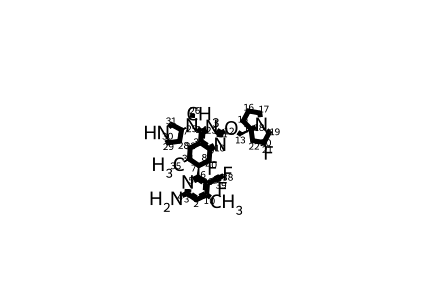 Cc1cc(N)nc([C@@H]2Cc3nc(OC[C@@]45CCCN4C[C@H](F)C5)nc(N(C)[C@@H]4CCNC4)c3C[C@H]2C)c1C(F)(F)F